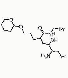 CC(C)CNC(=O)C(CCCOC1CCCCO1)CC(O)C(N)CC(C)C